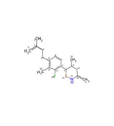 C=C(C)CCc1ccc(C2SNC(=C)CC2C)c(F)c1C